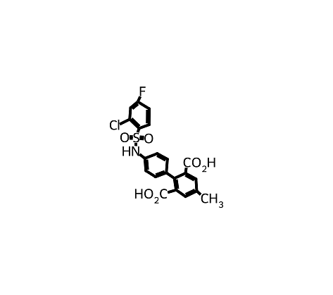 Cc1cc(C(=O)O)c(-c2ccc(NS(=O)(=O)c3ccc(F)cc3Cl)cc2)c(C(=O)O)c1